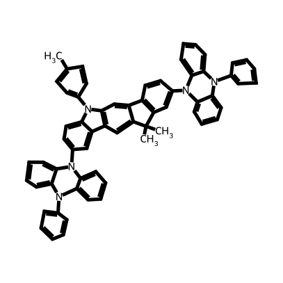 Cc1ccc(-n2c3ccc(N4c5ccccc5N(c5ccccc5)c5ccccc54)cc3c3cc4c(cc32)-c2ccc(N3c5ccccc5N(c5ccccc5)c5ccccc53)cc2C4(C)C)cc1